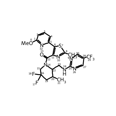 COc1cccc(-c2sc(C)nc2C(=O)N2CC(F)(F)CC(C)C2CNc2ncc(C(F)(F)F)cn2)n1